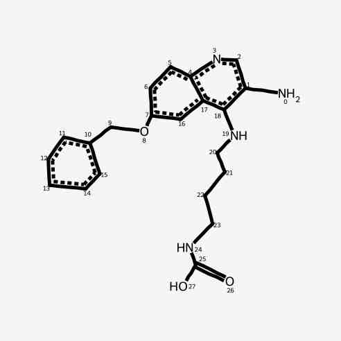 Nc1cnc2ccc(OCc3ccccc3)cc2c1NCCCCNC(=O)O